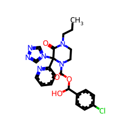 CCCN1CCN(C(=O)OC(O)c2ccc(Cl)cc2)C(c2ccccn2)(n2cnnc2)C1=O